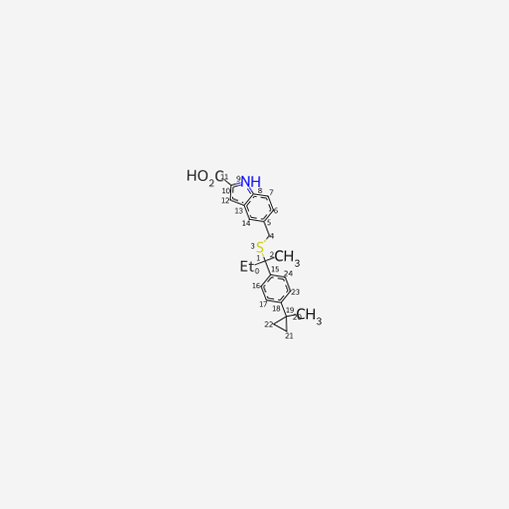 CCC(C)(SCc1ccc2[nH]c(C(=O)O)cc2c1)c1ccc(C2(C)CC2)cc1